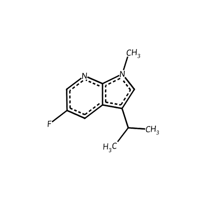 CC(C)c1cn(C)c2ncc(F)cc12